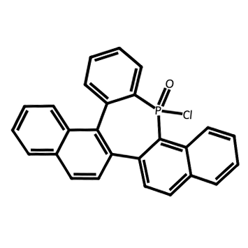 O=P1(Cl)c2ccccc2-c2c(ccc3ccccc23)-c2ccc3ccccc3c21